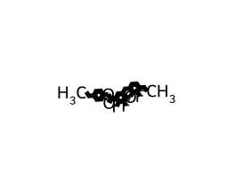 CCCc1ccc(OC(=O)c2cc3c(c(F)c2F)Oc2c(ccc(CCC)c2F)C3)cc1